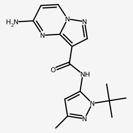 Cc1cc(NC(=O)c2cnn3ccc(N)nc23)n(C(C)(C)C)n1